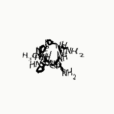 CN(C)c1nccc2c1CNC(=O)[C@H](Cc1c[nH]c3ccccc13)N(C)C(=O)[C@H](CCCCN)NC(=O)[C@H](CCCN)NCc1cccnc1S2